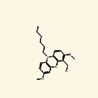 CCCCCCN1c2ccc(OC)cc2Sc2c1ccc(OC)c2CO